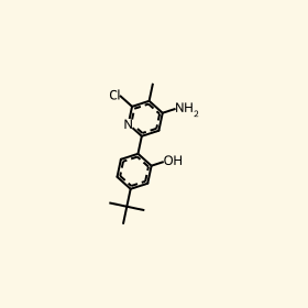 Cc1c(N)cc(-c2ccc(C(C)(C)C)cc2O)nc1Cl